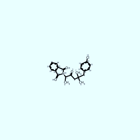 CC(C(=O)CC(C)(C)Cc1ccc(Cl)cc1)N1C(=O)c2ccccc2C1=O